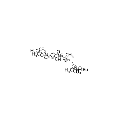 Cc1c(SNC(=O)c2ccc(-n3ccc(OCC(C)(C)C(F)(F)F)n3)nc2Cl)cnn1CCCC1CN(C(=O)OC(C)(C)C)C(C)(C)C1